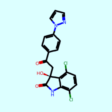 O=C(C[C@@]1(O)C(=O)Nc2c(Cl)ccc(Cl)c21)c1ccc(-n2cccn2)cc1